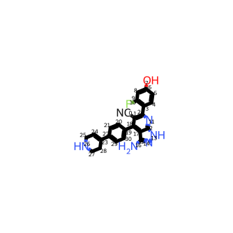 N#Cc1c(-c2ccc(O)cc2F)nc2[nH]nc(N)c2c1-c1ccc(C2=CCNCC2)cc1